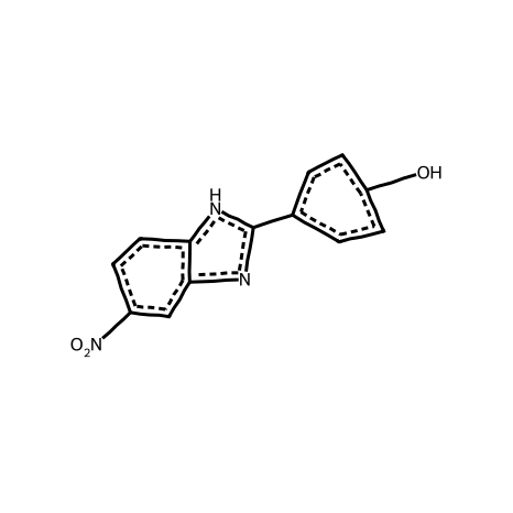 O=[N+]([O-])c1ccc2[nH]c(-c3ccc(O)cc3)nc2c1